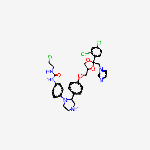 O=C(NCCCl)Nc1ccc(N2CCNCC2c2ccc(OCC3COC(Cn4ccnc4)(c4ccc(Cl)cc4Cl)O3)cc2)cc1